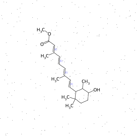 COC(=O)/C=C(C)/C=C/C=C(C)/C=C/C1C(C)C(O)CCC1(C)C